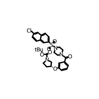 CC(C)(C)OC(=O)N1CC[C@@H](Oc2cccc(C(=O)N3CCN(S(=O)(=O)c4ccc5cc(Cl)ccc5c4)CC3)c2)C1